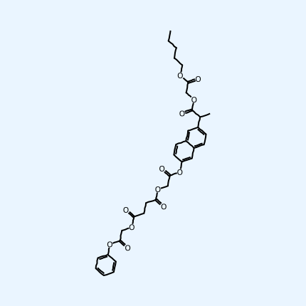 CCCCCOC(=O)COC(=O)C(C)c1ccc2cc(OC(=O)COC(=O)CCC(=O)OCC(=O)Oc3ccccc3)ccc2c1